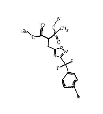 CCOP(C)(=O)C(Cc1nc(C(F)(F)c2ccc(Br)cc2)no1)C(=O)OC(C)(C)C